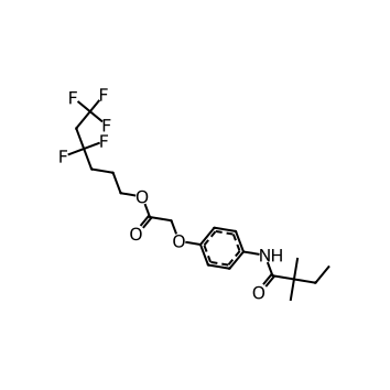 CCC(C)(C)C(=O)Nc1ccc(OCC(=O)OCCCC(F)(F)CC(F)(F)F)cc1